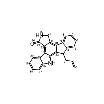 C=CCC1c2ccccc2-c2c3c(c4c([nH]c5ccccc54)c21)C(=O)NC3